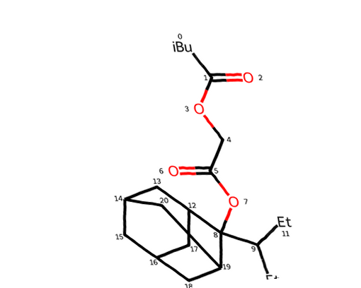 CCC(C)C(=O)OCC(=O)OC1(C(CC)CC)C2CC3CC(C2)CC1C3